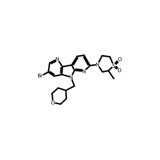 CC1CN(c2ccc3c4ncc(Br)cc4n(CC4CCOCC4)c3n2)CCS1(=O)=O